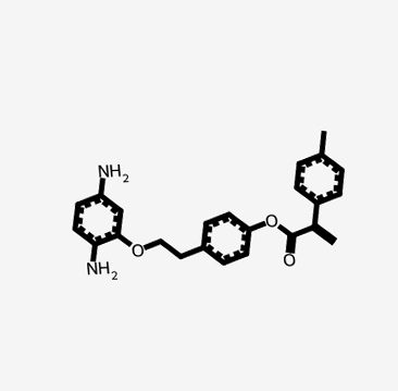 C=C(C(=O)Oc1ccc(CCOc2cc(N)ccc2N)cc1)c1ccc(C)cc1